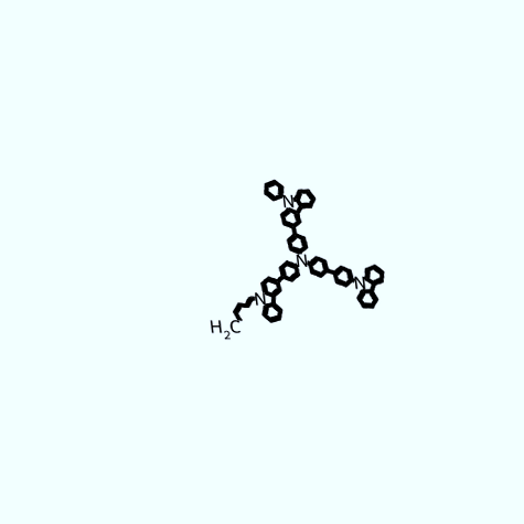 C=C/C=C\C=C\n1c2ccccc2c2cc(-c3ccc(N(c4ccc(-c5ccc(-n6c7ccccc7c7ccccc76)cc5)cc4)c4ccc(-c5ccc6c(c5)c5ccccc5n6-c5ccccc5)cc4)cc3)ccc21